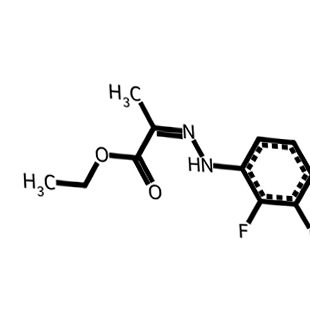 CCOC(=O)C(C)=NNc1cccc(F)c1F